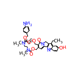 CCc1c2c(nc3ccc(O)cc13)-c1cc(COC(=O)N(C)CCN(C)C(=O)OCc3ccc(N)cc3)c(COC)c(=O)n1C2